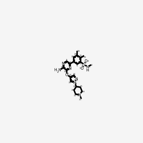 CNS(=O)(=O)c1cc(-c2cnc(N)c(Oc3cnn(C4CCN(C)CC4)c3)n2)cc(C)c1C